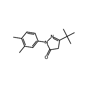 Cc1ccc(N2N=C(C(C)(C)C)CC2=O)cc1C